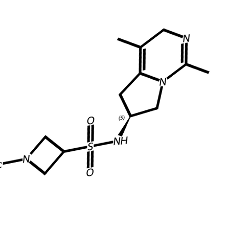 CC(=O)N1CC(S(=O)(=O)N[C@H]2CC3=C(C)CN=C(C)N3C2)C1